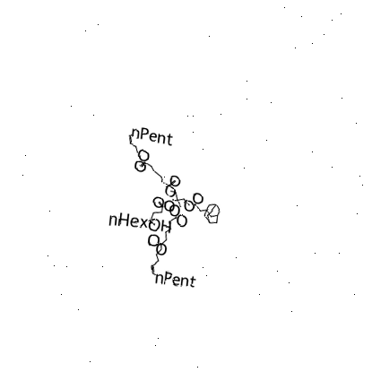 CCCCC/C=C\CCOC(=O)CCCCC(=O)OCC(COC(=O)CCCCC(=O)OCC/C=C\CCCCC)(COC(=O)CCC(O)CCCCCC)COC(=O)CC12CC3CC(CC(C3)C1)C2